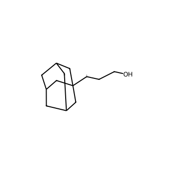 OCC[CH]C12CC3CC(CC(C3)C1)C2